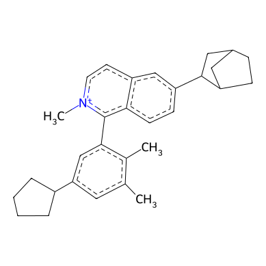 Cc1cc(C2CCCC2)cc(-c2c3ccc(C4CC5CCC4C5)cc3cc[n+]2C)c1C